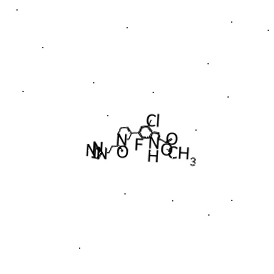 COC(=O)c1cc2c(Cl)cc(C3=CCCN(C(=O)CCn4ccnn4)C3)c(F)c2[nH]1